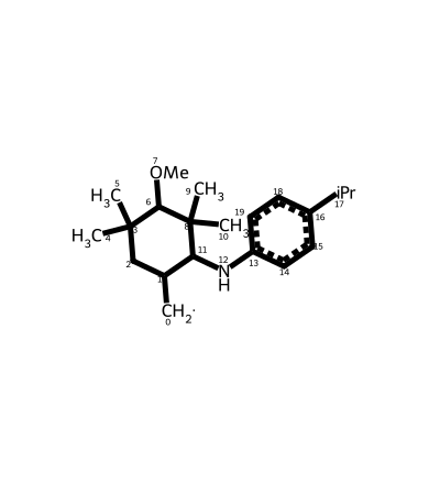 [CH2]C1CC(C)(C)C(OC)C(C)(C)C1Nc1ccc(C(C)C)cc1